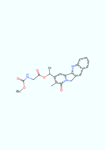 CCC(OC(=O)CNC(=O)OC(C)(C)C)c1cc2n(c(=O)c1C)Cc1cc3ccccc3nc1-2